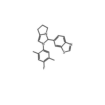 Cc1cc(N2C=C3CCCN3C2c2ccc3ncsc3c2)c(C)cc1F